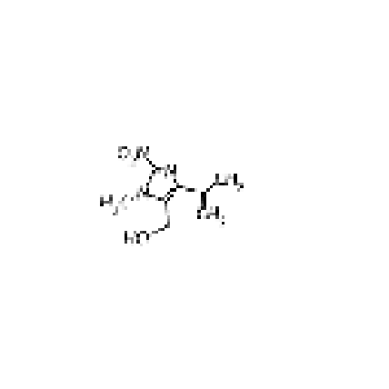 C=C(C)c1nc([N+](=O)[O-])n(C)c1CO